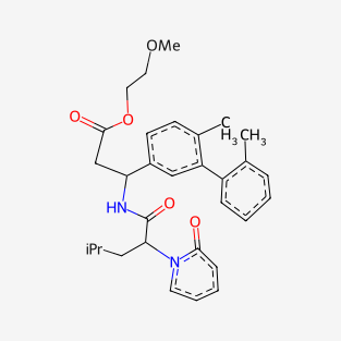 COCCOC(=O)CC(NC(=O)C(CC(C)C)n1ccccc1=O)c1ccc(C)c(-c2ccccc2C)c1